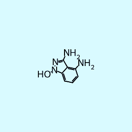 Nc1cccc2c1c(N)nn2O